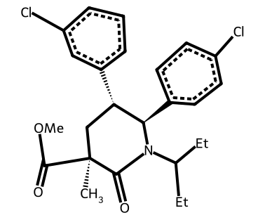 CCC(CC)N1C(=O)[C@@](C)(C(=O)OC)C[C@H](c2cccc(Cl)c2)[C@H]1c1ccc(Cl)cc1